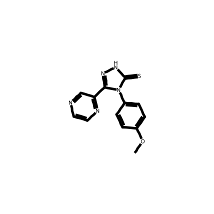 COc1ccc(-n2c(-c3cnccn3)n[nH]c2=S)cc1